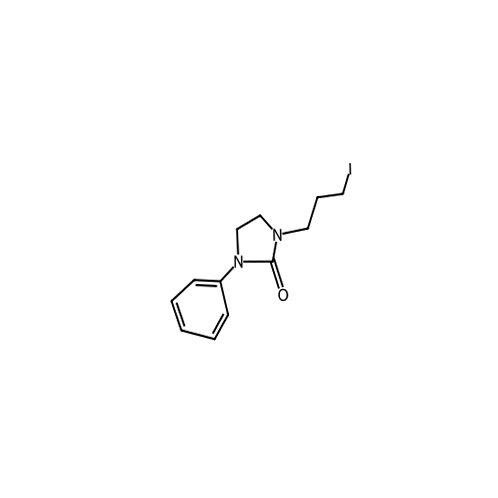 O=C1N(CCCI)CCN1c1ccccc1